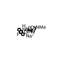 CN[C@H]1COc2c(S(=O)(=O)[N-]C(=O)Nc3c4c(c(F)c5c3CCC5)CCC4)cnn2C1.[Na+]